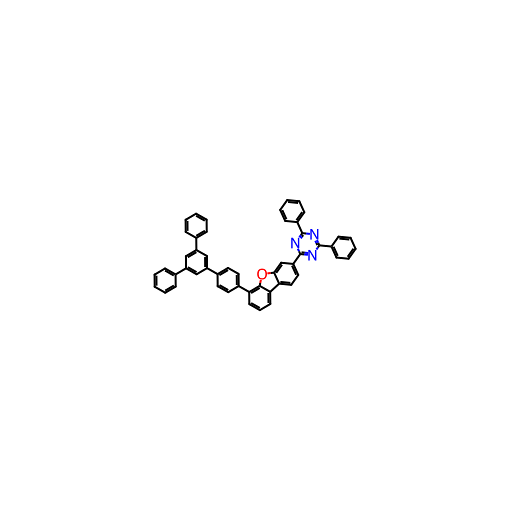 c1ccc(-c2cc(-c3ccccc3)cc(-c3ccc(-c4cccc5c4oc4cc(-c6nc(-c7ccccc7)nc(-c7ccccc7)n6)ccc45)cc3)c2)cc1